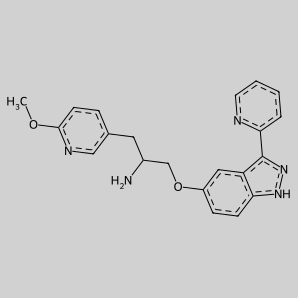 COc1ccc(CC(N)COc2ccc3[nH]nc(-c4ccccn4)c3c2)cn1